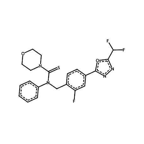 Fc1cc(-c2nnc(C(F)F)o2)ccc1CN(C(=S)N1CCOCC1)c1ccccc1